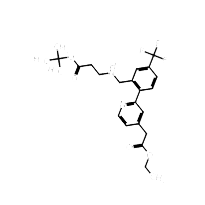 CCOC(=O)Cc1ccnc(-c2ccc(C(F)(F)F)cc2CNCCC(=O)OC(C)(C)C)c1